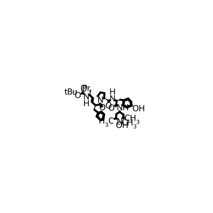 CC(C)C[C@@H](/C=C/[C@H](Cc1ccccc1)C(=O)N1CCC[C@H]1C(=O)N[C@@H](Cc1ccc(O)cc1)C(=O)NC1CC(C)N(O)C(C)(C)C1)NC(=O)OC(C)(C)C